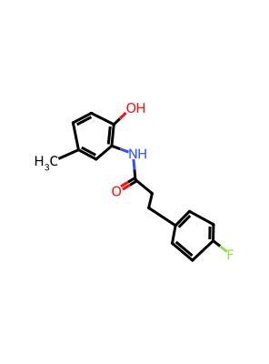 Cc1ccc(O)c(NC(=O)CCc2ccc(F)cc2)c1